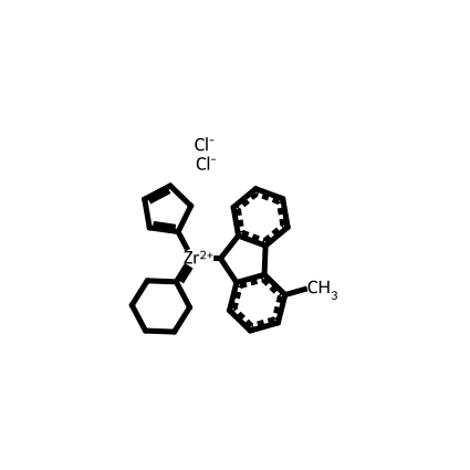 Cc1cccc2c1-c1ccccc1[CH]2[Zr+2]([C]1=CC=CC1)=[C]1CCCCC1.[Cl-].[Cl-]